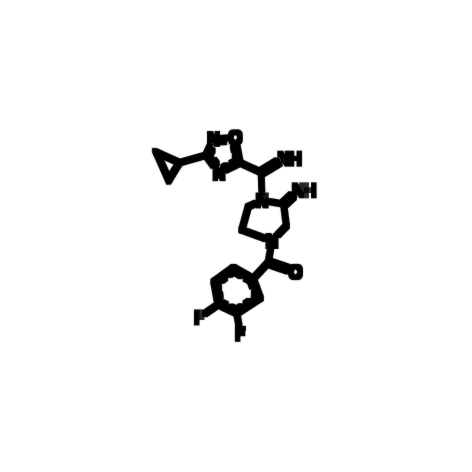 N=C1CN(C(=O)c2ccc(F)c(F)c2)CCN1C(=N)c1nc(C2CC2)no1